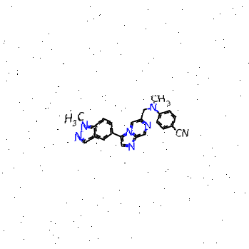 CN(Cc1cn2c(-c3ccc4c(cnn4C)c3)cnc2cn1)c1ccc(C#N)cc1